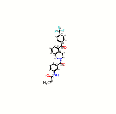 C=CC(=O)Nc1cccc(C(=O)N2CCc3c(cccc3C(=O)c3ccc(C(F)(F)F)cc3)C2)c1